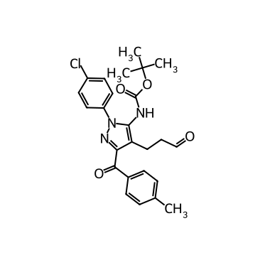 Cc1ccc(C(=O)c2nn(-c3ccc(Cl)cc3)c(NC(=O)OC(C)(C)C)c2CCC=O)cc1